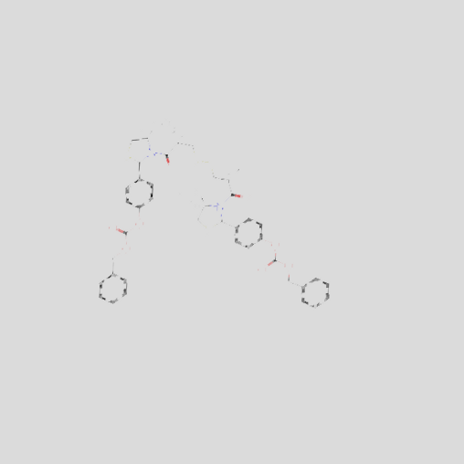 C[C@H](CSSC[C@@H](C)C(=O)N1C(c2ccc(OC(=O)OCc3ccccc3)cc2)SC[C@H]1C(=O)O)C(=O)N1C(c2ccc(OC(=O)OCc3ccccc3)cc2)SC[C@H]1C(=O)O